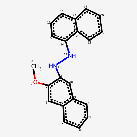 COc1cc2ccccc2cc1NNc1cccc2ccccc12